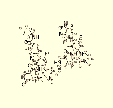 C[C@@H]1CN(c2cc(F)c(-c3ccc(C(=O)NC(C)(C)CC(C)(C)C)c(F)c3F)c(F)c2NC(=O)c2c[nH]c(=O)cc2C(F)(F)F)C[C@H](C)N1C.C[C@@H]1CN(c2cc(F)c(-c3ccc(C(N)=O)c(F)c3F)c(F)c2NC(=O)c2c[nH]c(=O)cc2C(F)(F)F)C[C@H](C)N1C